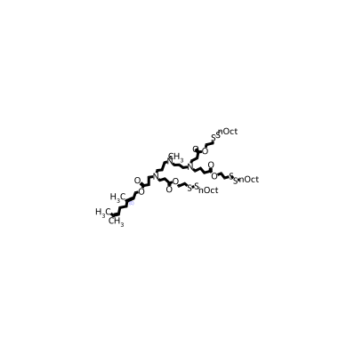 CCCCCCCCSSCCOC(=O)CCCN(CCCN(C)CCCN(CCC(=O)OC/C=C(\C)CCC=C(C)C)CCC(=O)OCCSSCCCCCCCC)CCC(=O)OCCSSCCCCCCCC